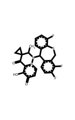 CC1N(C2c3ccc(F)c(F)c3CSc3c(F)cccc32)n2ccc(=O)c(O)c2C(=O)C12CC2